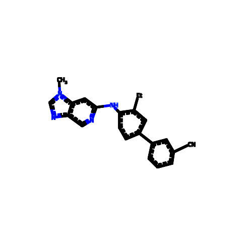 CCc1cc(-c2cccc(C#N)c2)ccc1Nc1cc2c(cn1)ncn2C